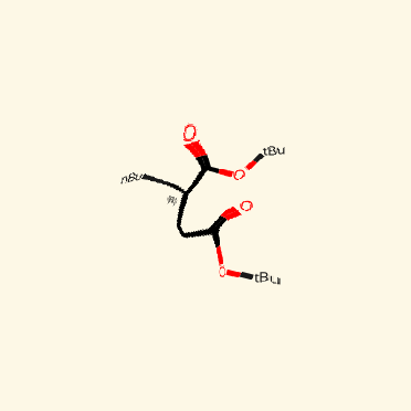 CCCC[C@H](CC(=O)OC(C)(C)C)C(=O)OC(C)(C)C